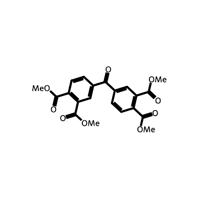 COC(=O)c1ccc(C(=O)c2ccc(C(=O)OC)c(C(=O)OC)c2)cc1C(=O)OC